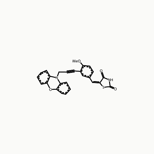 COc1ccc(/C=C2/SC(=O)NC2=O)cc1C#CCN1c2ccccc2Oc2ccccc21